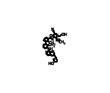 CO/N=c1/c2nc(-c3cccc(-c4cccc(Nc5nccc6cc(CN7CC[C@@H](O)C7)cnc56)c4C)c3C)oc2c(C#N)cn1CCO